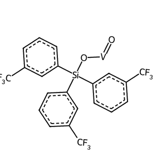 [O]=[V][O][Si](c1cccc(C(F)(F)F)c1)(c1cccc(C(F)(F)F)c1)c1cccc(C(F)(F)F)c1